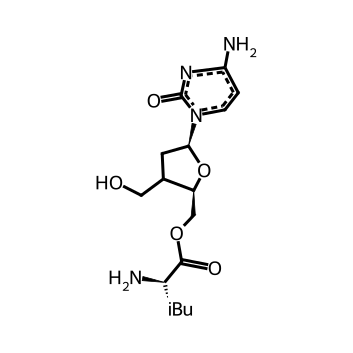 CC[C@@H](C)[C@@H](N)C(=O)OC[C@@H]1O[C@H](n2ccc(N)nc2=O)CC1CO